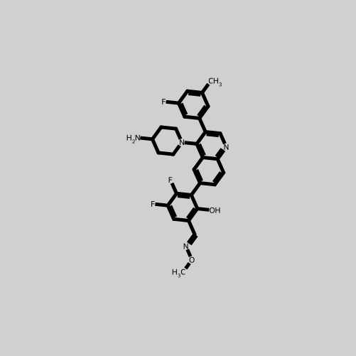 CON=Cc1cc(F)c(F)c(-c2ccc3ncc(-c4cc(C)cc(F)c4)c(N4CCC(N)CC4)c3c2)c1O